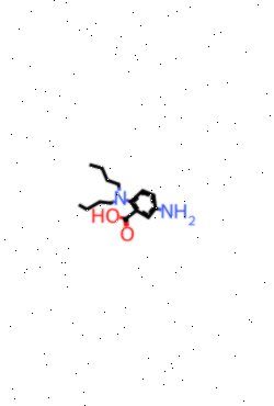 CCCCN(CCCC)c1ccc(N)cc1C(=O)O